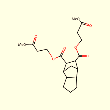 COC(=O)CCOC(=O)C1C2CC(C3CCCC32)C1C(=O)OCCC(=O)OC